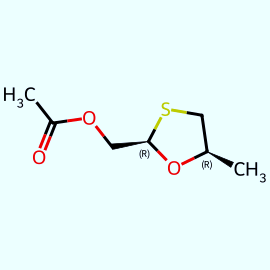 CC(=O)OC[C@@H]1O[C@H](C)CS1